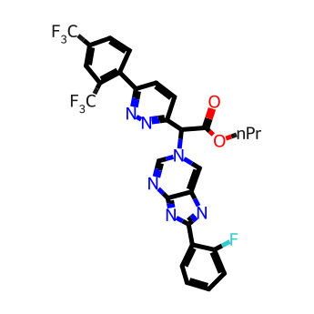 CCCOC(=O)C(c1ccc(-c2ccc(C(F)(F)F)cc2C(F)(F)F)nn1)n1cnc2nc(-c3ccccc3F)nc-2c1